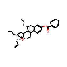 C=CC[C@@H]1CC2C3C(CC[C@@]24O[C@@]14CC=C)c1ccc(OC(=O)c2ccccc2)cc1C[C@H]3CCC